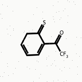 O=C(C1=CC=CCC1=S)C(F)(F)F